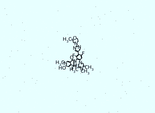 C[C@@H]1CN(c2cc(F)c(-c3cnc(N4CCO[C@@H](C)C4)nc3)c(F)c2NC(=O)C2=CN(C)C(O)C=C2C(F)(F)F)C[C@H](C)N1C